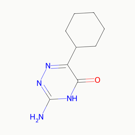 Nc1nnc(C2CCCCC2)c(=O)[nH]1